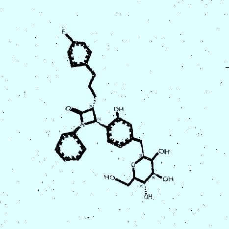 O=C1[C@H](CCCc2ccc(F)cc2)[C@@H](c2ccc(C[C@@H]3OC(CO)[C@@H](O)[C@H](O)C3O)cc2O)N1c1ccccc1